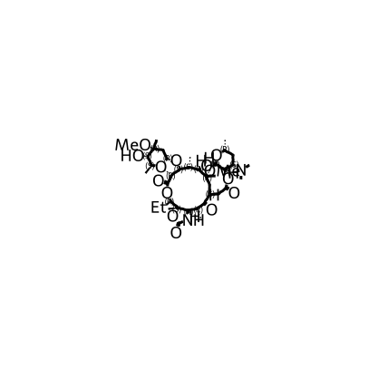 CC[C@H]1OC(=O)[C@H](C)[C@@H](O[C@H]2C[C@@](C)(OC)[C@@H](O)[C@H](C)O2)[C@H](C)[C@H]2O[C@@H]3O[C@H](C)C[C@H](N(C)C)[C@H]3OC(=O)C[C@H](C[C@@]2(C)OC)C(=O)[C@H](C)[C@H]2NC(=O)O[C@@]21C